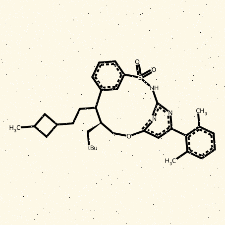 Cc1cccc(C)c1-c1cc2nc(n1)NS(=O)(=O)c1cccc(c1)C(CCC1CC(C)C1)[C@H](CC(C)(C)C)CO2